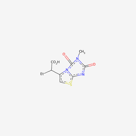 CCC(C(=O)O)c1csc2nc(=O)n(C)c(=O)n12